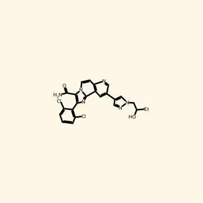 CCC(O)Cn1cc(-c2cnc3ccn4c(C(N)=O)c(-c5c(Cl)cccc5Cl)nc4c3c2)cn1